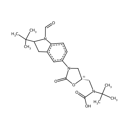 CC(C)(C)C1Cc2cc(N3C[C@H](CN(C(=O)O)C(C)(C)C)OC3=O)ccc2N1C=O